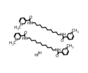 CN1C=CC=C(C(=O)NCCCCCCCCCCNC(=O)C2=CC=CN(C)C2)C1.CN1C=CC=C(C(=O)NCCCCCCCCCCNC(=O)C2=CC=CN(C)C2)C1.I.I